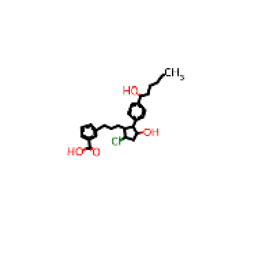 CCCCCC(O)c1ccc(C2C(O)CC(Cl)C2CCCc2cccc(C(=O)O)c2)cc1